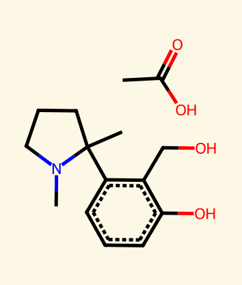 CC(=O)O.CN1CCCC1(C)c1cccc(O)c1CO